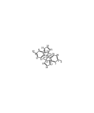 Cc1cc[c]([Ti]([c]2ccc(C)cc2)([C]2(C)C=CC=C2)[C]2(C)C=CC=C2)cc1